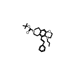 CCCN1CCOc2cc3c(c(/C=C/c4ccccc4)c21)CCN(C(=O)OC(C)(C)C)CC3